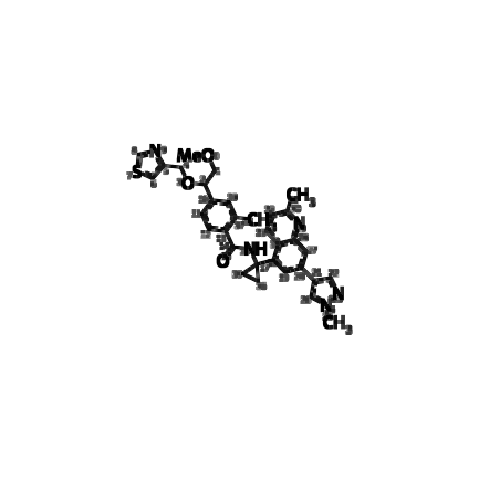 COCC(OCc1cscn1)c1ccc(C(=O)NC2(c3cc(-c4cnn(C)c4)cc4nc(C)ccc34)CC2)c(C)c1